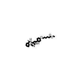 CCOC(=O)CCCCCOc1ccc(-c2cc3c(N[C@H](C)c4ccccc4)ncnc3[nH]2)cc1